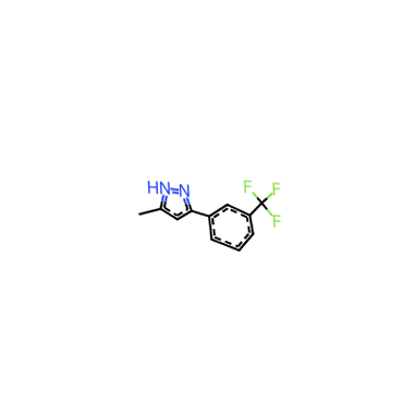 Cc1cc(-c2cccc(C(F)(F)F)c2)n[nH]1